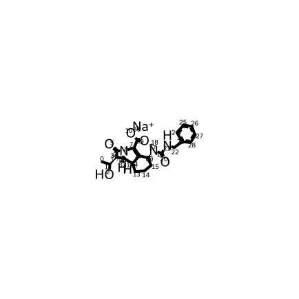 CC(O)[C@H]1C(=O)N2C(C(=O)[O-])=C3[C@H](CCC[C@@H]3N(C)C(=O)NCc3ccccc3)[C@H]12.[Na+]